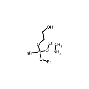 CCC[Si](OCC)(OCC)OCCO.CN